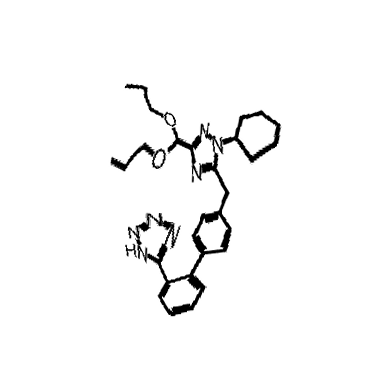 CCCOC(OCCC)c1nc(Cc2ccc(-c3ccccc3-c3nnn[nH]3)cc2)n(C2CCCCC2)n1